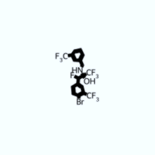 OC(NCc1cccc(C(F)(F)F)c1)(C(F)c1ccc(Br)c(C(F)(F)F)c1)C(F)(F)F